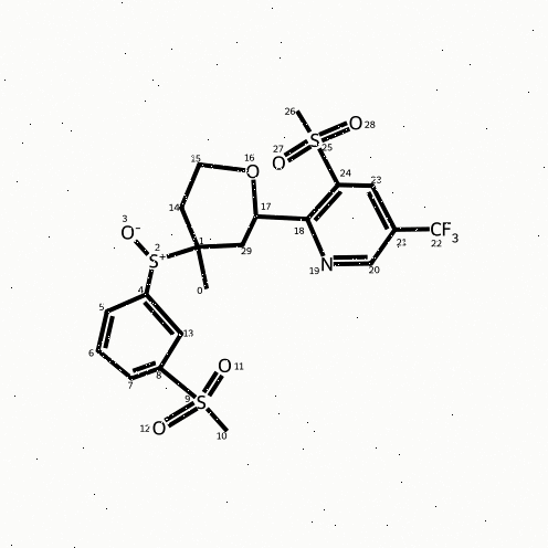 CC1([S+]([O-])c2cccc(S(C)(=O)=O)c2)CCOC(c2ncc(C(F)(F)F)cc2S(C)(=O)=O)C1